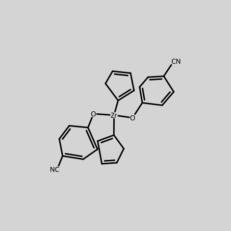 N#Cc1ccc([O][Zr]([O]c2ccc(C#N)cc2)([C]2=CC=CC2)[C]2=CC=CC2)cc1